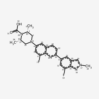 C[C@@H]1CN(c2cc(F)c3nc(-c4cc(F)c5nn(C)cc5c4)ccc3c2)C[C@H](C)N1C(=O)O